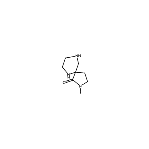 CN1CCC2(CNCCN2)C1=O